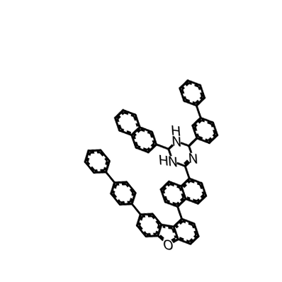 c1ccc(-c2ccc(-c3ccc4oc5cccc(-c6cccc7c(C8=NC(c9cccc(-c%10ccccc%10)c9)NC(c9ccc%10ccccc%10c9)N8)cccc67)c5c4c3)cc2)cc1